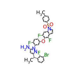 Cc1ccc(S(=O)(=O)n2ccc3c(F)c(Oc4ccc(F)c(-n5nc(C(C)c6cccc(Br)c6F)cc5N)c4)c(F)cc32)cc1